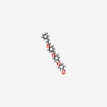 O=Cc1ccc(OCc2ccc(OCc3ccc(OCC=Cc4ccccc4)cc3)cc2)cc1